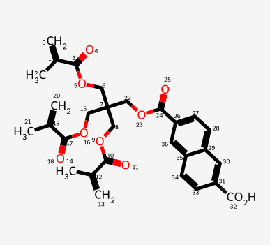 C=C(C)C(=O)OCC(COC(=O)C(=C)C)(COC(=O)C(=C)C)COC(=O)c1ccc2cc(C(=O)O)ccc2c1